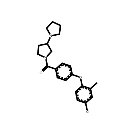 Cc1cc(Cl)ccc1Oc1ccc(C(=O)N2CCC(N3CCCC3)C2)cc1